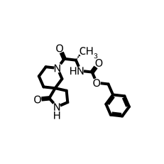 C[C@H](NC(=O)OCc1ccccc1)C(=O)N1CCCC2(CCNC2=O)C1